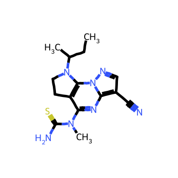 CCC(C)N1CCc2c(N(C)C(N)=S)nc3c(C#N)cnn3c21